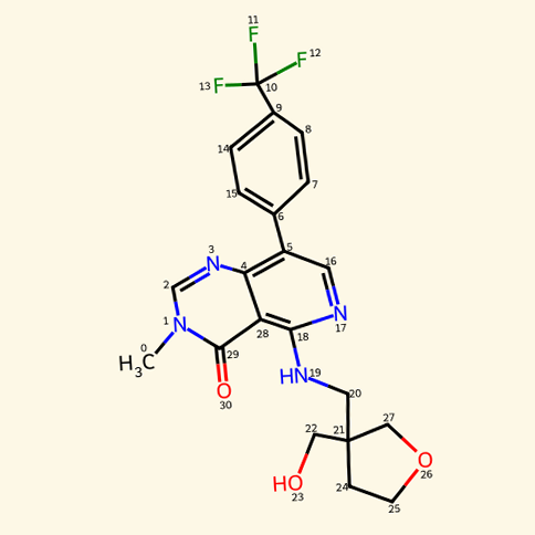 Cn1cnc2c(-c3ccc(C(F)(F)F)cc3)cnc(NCC3(CO)CCOC3)c2c1=O